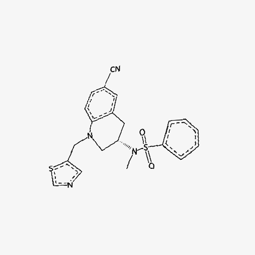 CN([C@H]1Cc2cc(C#N)ccc2N(Cc2cncs2)C1)S(=O)(=O)c1ccccc1